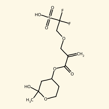 C=C(COCC(F)(F)S(=O)(=O)O)C(=O)OC1CCOC(C)(O)C1